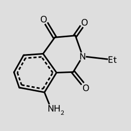 CCN1C(=O)C(=O)c2cccc(N)c2C1=O